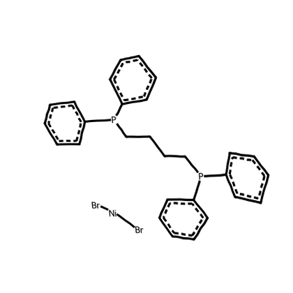 [Br][Ni][Br].c1ccc(P(CCCCP(c2ccccc2)c2ccccc2)c2ccccc2)cc1